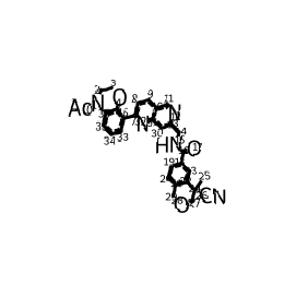 CC(=O)N1CCOc2c(-c3ccc4cnc(CNC(=O)c5ccc6c(c5)[C@](C)(C#N)COC6)cc4n3)cccc21